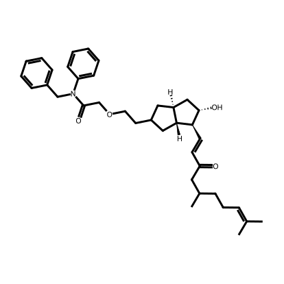 CC(C)=CCCC(C)CC(=O)C=C[C@H]1[C@@H]2CC(CCOCC(=O)N(Cc3ccccc3)c3ccccc3)C[C@H]2C[C@@H]1O